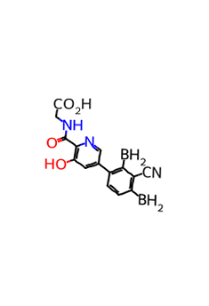 Bc1ccc(-c2cnc(C(=O)NCC(=O)O)c(O)c2)c(B)c1C#N